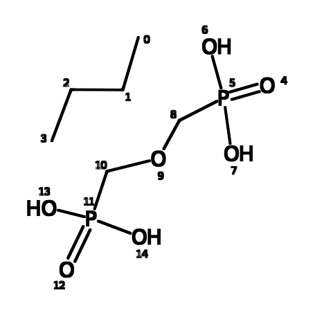 CCCC.O=P(O)(O)COCP(=O)(O)O